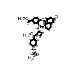 COC(=O)c1ccc2c(c1)N(C[C@@H]1CC[C@H]1[C@@H](OC)C1=CC[C@H](COS(C)(=O)=O)CC1)C[C@@]1(CCCc3cc(Cl)ccc31)CO2